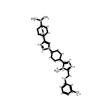 CN(C)C12CCC(c3cn(C4CCC(c5nnc(COc6cccc(C(F)(F)F)c6)n5C)CC4)nn3)(CC1)OC2